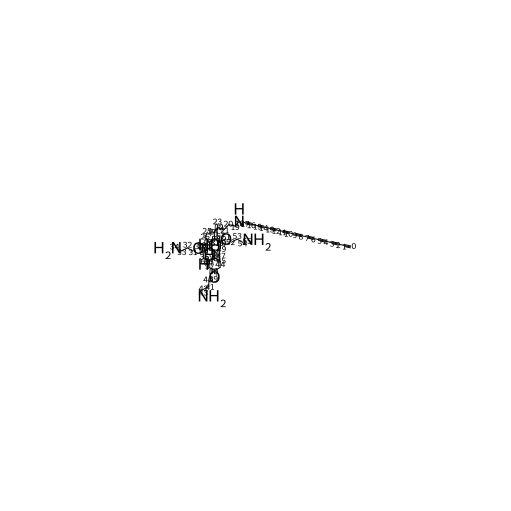 C#CC#CC#CC#CC#CC#CC#CC#CC#CNCCC[C@@H](C)[C@H]1CC[C@H]2[C@@H]3[C@H](OCCCN)C[C@@H]4C[C@H](OCCCN)CC[C@]4(C)[C@H]3C[C@H](OCCCN)[C@]12C